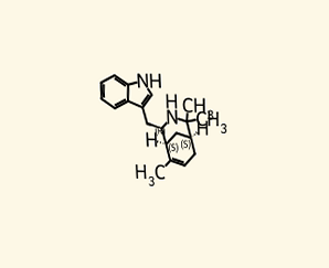 CC1=CC[C@H]2C[C@@H]1[C@@H](Cc1c[nH]c3ccccc13)NC2(C)C